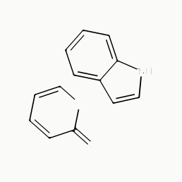 O=c1cccco1.c1ccc2[nH]ccc2c1